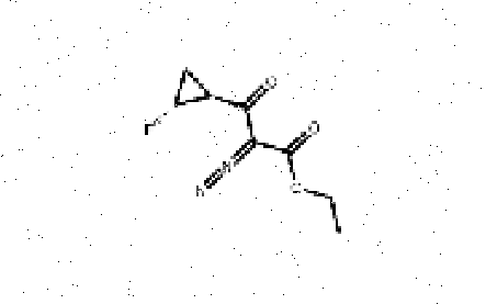 CCOC(=O)C(=[N+]=[N-])C(=O)[C@@H]1C[C@H]1F